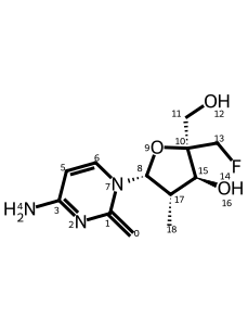 C=C1N=C(N)C=CN1[C@@H]1O[C@@](CO)(CF)[C@@H](O)[C@@H]1C